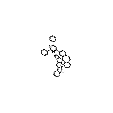 C1=Cc2ccc(-c3cc(-c4ccccc4)nc(-c4ccccc4)n3)cc2C2(c3ccccc31)c1ccccc1-c1cc3c(cc12)oc1ccccc13